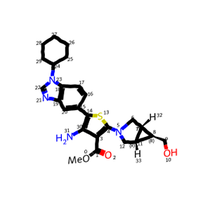 COC(=O)c1c(N2C[C@@H]3[C@@H](CO)[C@@H]3C2)sc(-c2ccc3c(c2)ncn3C2CCCCC2)c1N